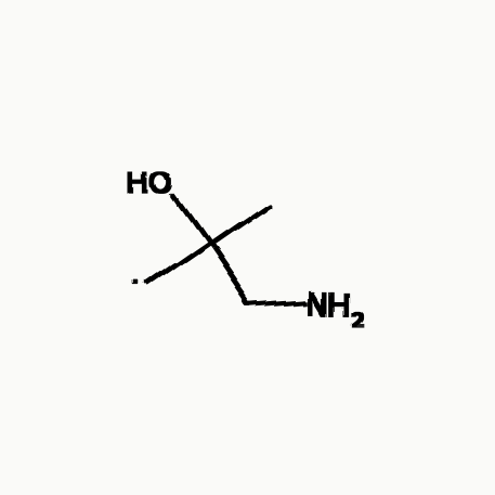 [CH2]C(C)(O)CN